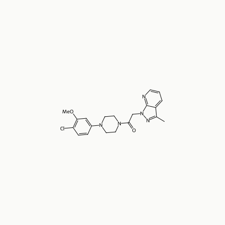 COc1cc(N2CCN(C(=O)Cn3nc(C)c4cccnc43)CC2)ccc1Cl